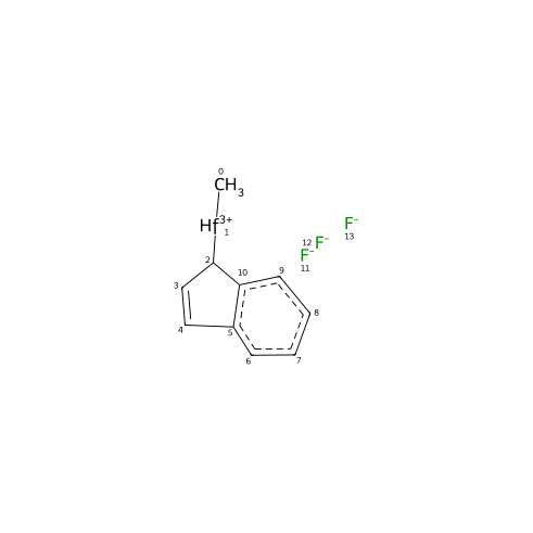 [CH3][Hf+3][CH]1C=Cc2ccccc21.[F-].[F-].[F-]